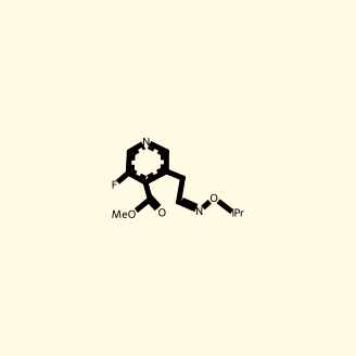 COC(=O)c1c(F)cncc1C/C=N\OC(C)C